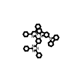 c1ccc(-c2cc(-c3ccccc3)nc(-c3cc(-c4nc(-c5ccccc5)nc(-c5ccccc5)n4)ccc3-n3c4ccccc4c4ccc(-n5c6ccccc6c6ccccc65)cc43)n2)cc1